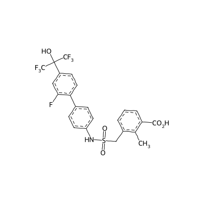 Cc1c(CS(=O)(=O)Nc2ccc(-c3ccc(C(O)(C(F)(F)F)C(F)(F)F)cc3F)cc2)cccc1C(=O)O